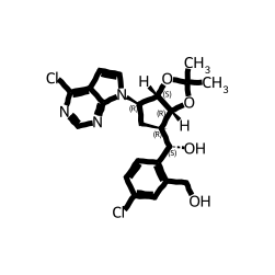 CC1(C)O[C@@H]2[C@@H]([C@H](O)c3ccc(Cl)cc3CO)C[C@@H](n3ccc4c(Cl)ncnc43)[C@@H]2O1